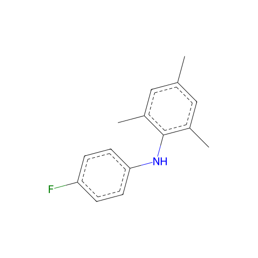 Cc1cc(C)c(Nc2ccc(F)cc2)c(C)c1